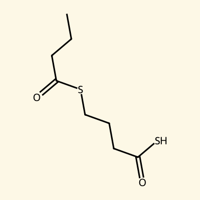 CCCC(=O)SCCCC(=O)S